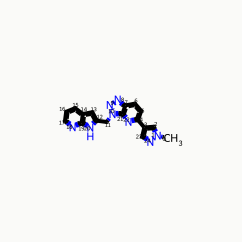 Cn1cc(-c2ccc3nnn(Cc4cc5cccnc5[nH]4)c3n2)cn1